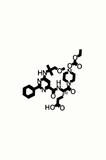 CCOC(=O)ON1CCN(C(=O)[C@H](CCC(=O)O)NC(=O)c2cc(NC(C)(C)COC)nc(-c3ccccc3)n2)CC1